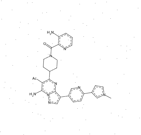 CC(=O)c1c(C2CCN(C(=O)c3ncccc3N)CC2)nc2c(-c3ccc(-c4ccn(C)c4)nc3)cnn2c1N